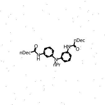 CCCCCCCCCCC(=O)Nc1cccc(N(CCC)c2cccc(NC(=O)CCCCCCCCCC)c2)c1